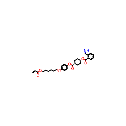 C=CC(=O)OCCCCCCOc1ccc(OC(=O)[C@H]2CC[C@H](OC(=O)c3ccccc3C=N)CC2)cc1